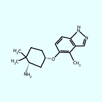 Cc1c(O[C@H]2CCC(C)(C)[C@@H](N)C2)ccc2[nH]ncc12